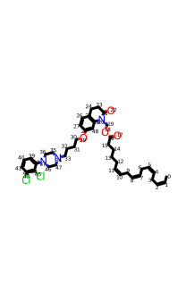 C/C=C\C/C=C\C/C=C\C/C=C\CCCCC(=O)OCN1C(=O)CCc2ccc(OCCCCN3CCN(c4cccc(Cl)c4Cl)CC3)cc21